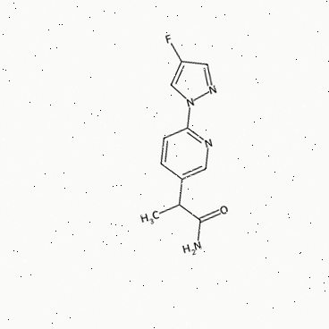 CC(C(N)=O)c1ccc(-n2cc(F)cn2)nc1